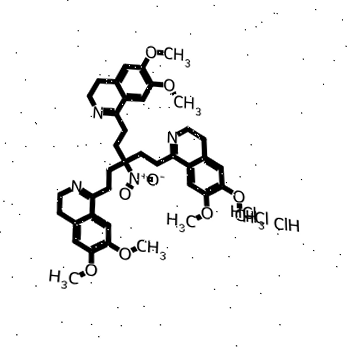 COc1cc2c(cc1OC)C(CCC(CCC1=NCCc3cc(OC)c(OC)cc31)(CCC1=NCCc3cc(OC)c(OC)cc31)[N+](=O)[O-])=NCC2.Cl.Cl.Cl